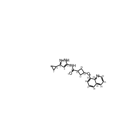 O=C(Nc1cc(C2CC2)n[nH]1)C1CC(Oc2cccc3cccnc23)C1